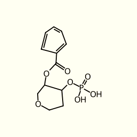 O=C(OC1COCCC1OP(=O)(O)O)c1ccccc1